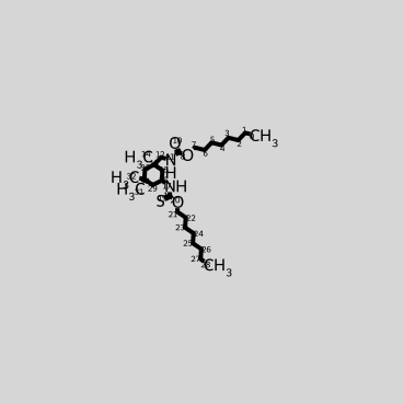 CCCCCCCCOC(=O)NCC1(C)CC(NC(=S)OCCCCCCCC)CC(C)(C)C1